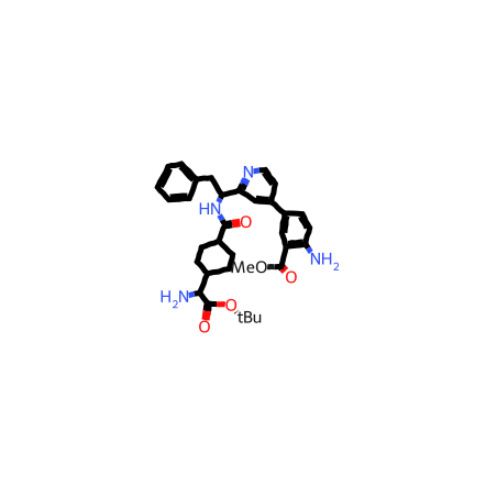 COC(=O)c1cc(-c2ccnc(C(Cc3ccccc3)NC(=O)C3CCC(C(N)C(=O)OC(C)(C)C)CC3)c2)ccc1N